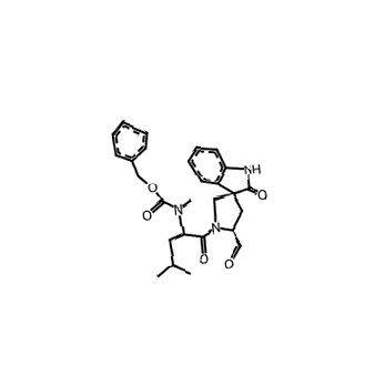 CC(C)CC(C(=O)N1C[C@]2(C[C@H]1C=O)C(=O)Nc1ccccc12)N(C)C(=O)OCc1ccccc1